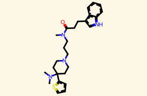 CN(CCCN1CCC(c2cccs2)(N(C)C)CC1)C(=O)CCc1c[nH]c2ccccc12